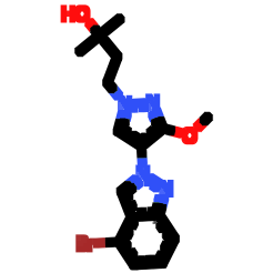 COc1nn(CCC(C)(C)O)cc1-n1cc2c(Br)cccc2n1